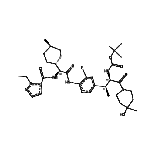 CCn1nccc1C(=O)N[C@H](C(=O)Nc1ccc([C@H](C)[C@@H](NC(=O)OC(C)(C)C)C(=O)N2CCC(C)(O)CC2)cc1F)[C@H]1CC[C@H](C)CC1